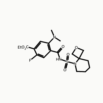 CCOC(=O)c1cc(N(C)C)c(C(=O)NS(=O)(=O)N2CCCCC23COC3)cc1F